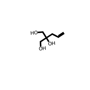 C=CCC(O)(CO)CO